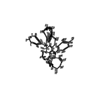 C=C(C)/C=C\C(=C/C)N(c1ccccc1)C1(C)c2cc(C(C)C)ccc2C(N(C2=C/CCC(C)C/C=C\2)c2ccc(C)cc2)=C2C=C(C(C)C)CC=CC21